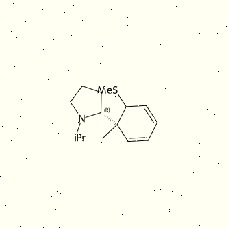 CSC1C=CC=CC1(C)[C@H]1CCCN1C(C)C